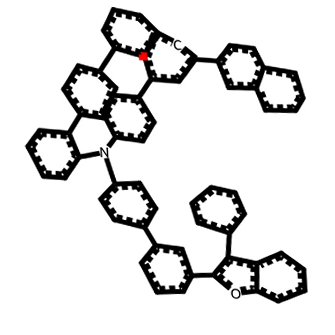 c1ccc(-c2ccc(-c3ccccc3N(c3ccc(-c4cccc(-c5ccc6ccccc6c5)c4)cc3)c3ccc(-c4cccc(-c5oc6ccccc6c5-c5ccccc5)c4)cc3)cc2)cc1